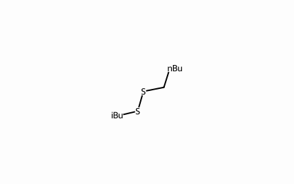 CCCCCSSC(C)CC